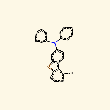 Cc1cccc2sc3cc(N(c4ccccc4)c4ccccc4)ccc3c12